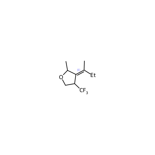 CC/C(C)=C1/C(C)OCC1C(F)(F)F